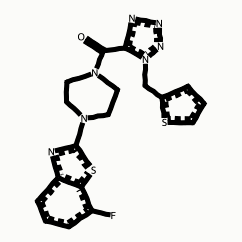 O=C(c1nnnn1Cc1cccs1)N1CCN(c2nc3cccc(F)c3s2)CC1